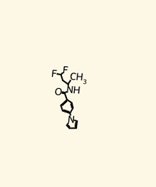 CC(CC(F)F)NC(=O)c1ccc(-n2cccc2)cc1